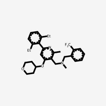 CCc1cccc(CC)c1-c1cc(OC2CCOCC2)c(CN(C)Cc2ccccc2C(F)(F)F)c(C)n1